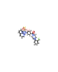 B[SH](=O)(Nc1ccc(C(=O)N2CCN(c3ccccc3F)CC2)cc1)c1cccc2cccnc12